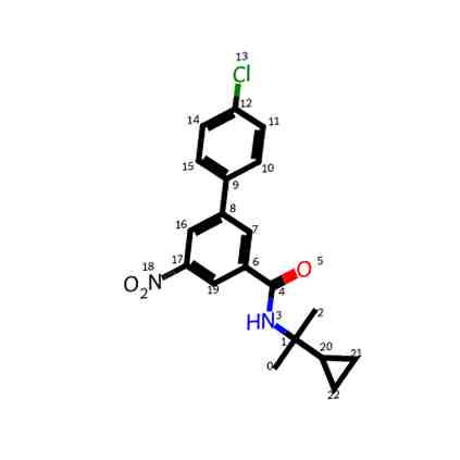 CC(C)(NC(=O)c1cc(-c2ccc(Cl)cc2)cc([N+](=O)[O-])c1)C1CC1